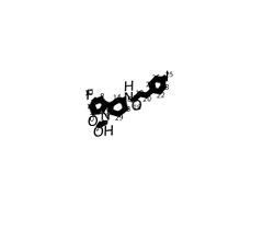 O=C(O)Cn1c2c(c3cc(F)ccc31)C[C@@H](NC(=O)CCc1ccc(I)cc1)CC2